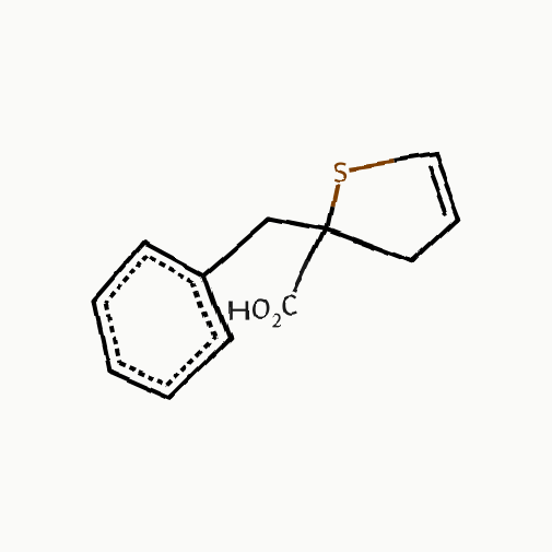 O=C(O)C1(Cc2ccccc2)CC=CS1